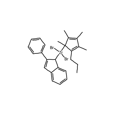 CCCC1=C(C)C(C)=C(C)[C]1(C)[Zr]([Br])([Br])[CH]1C(c2ccccc2)=Cc2ccccc21